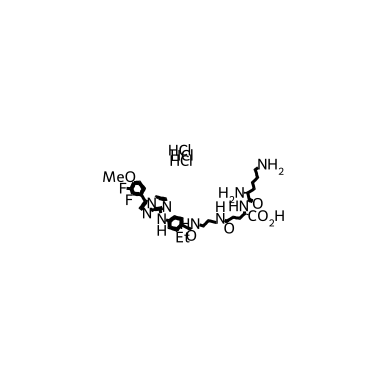 CCc1cc(Nc2nccn3c(-c4ccc(OC)c(F)c4F)cnc23)ccc1C(=O)NCCCNC(=O)CC[C@H](NC(=O)[C@@H](N)CCCCN)C(=O)O.Cl.Cl.Cl